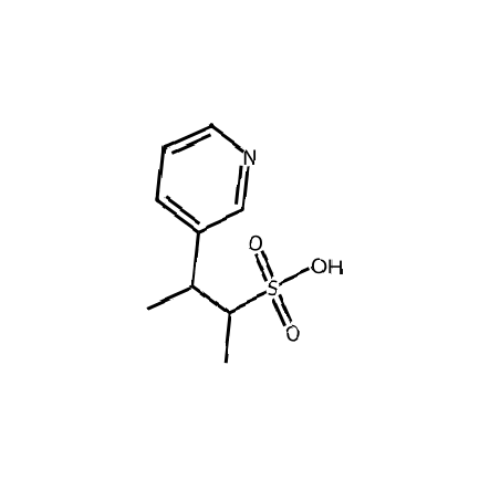 CC(c1cccnc1)C(C)S(=O)(=O)O